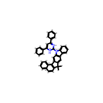 CC1(C)c2cc3c4ccccc4n(C4N=C(c5ccccc5)C=C(c5ccccc5)N4)c3cc2-c2c1ccc1ccccc21